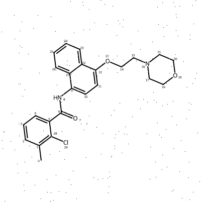 Cc1cccc(C(=O)Nc2ccc(OCCN3CCOCC3)c3ccccc23)c1Cl